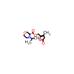 CC1=C(COC(=O)[C@H]2COCCN2C(C)C)OC(=O)C1